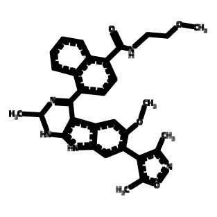 COCCNC(=O)c1ccc(C2=NC(C)Nc3[nH]c4cc(-c5c(C)noc5C)c(OC)cc4c32)c2ccccc12